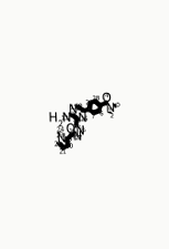 CN(C)C(=O)c1ccc(-c2cnc(N)c(-c3nnc(-c4cccn4C)o3)n2)cc1